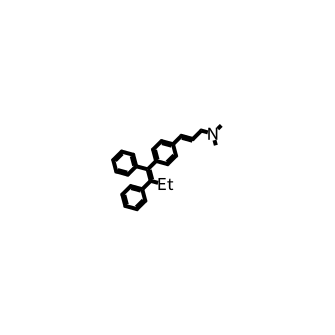 CCC(=C(c1ccccc1)c1ccc(C=CCN(C)C)cc1)c1ccccc1